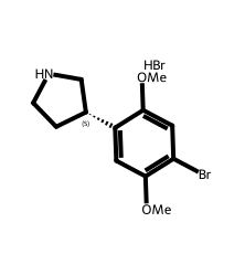 Br.COc1cc([C@@H]2CCNC2)c(OC)cc1Br